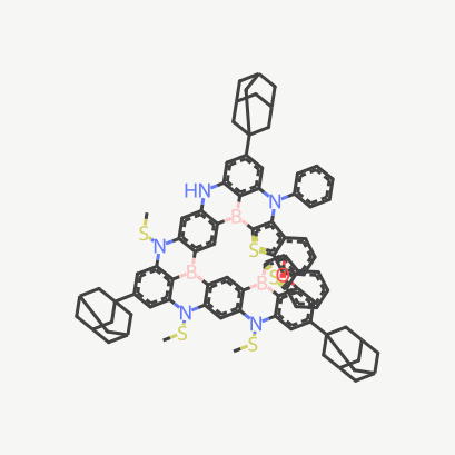 CSN1c2cc3c(cc2B2c4sc5ccccc5c4Oc4cc(C56CC7CC(CC(C7)C5)C6)cc1c42)B1c2cc4c(cc2N(SC)c2cc(C56CC7CC(CC(C7)C5)C6)cc(c21)N3SC)Nc1cc(C23CC5CC(CC(C5)C2)C3)cc2c1B4c1sc3ccccc3c1N2c1ccccc1